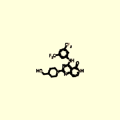 O=c1[nH]ccc2nc(N3CCC(CO)CC3)nc(Nc3cc(C(F)(F)F)cc(C(F)(F)F)c3)c12